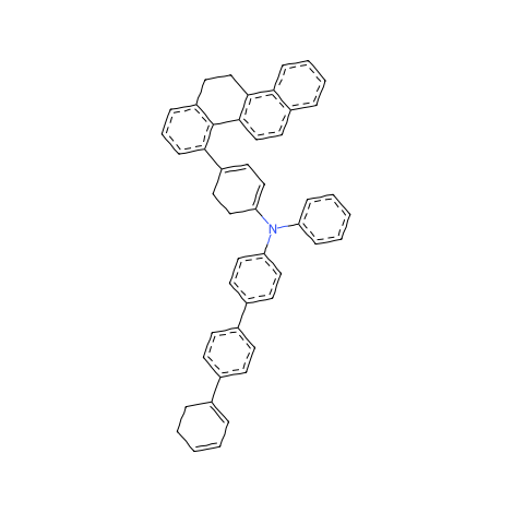 C1=CCCC(c2ccc(-c3ccc(N(C4=CC=C(c5cccc6c5-c5ccc7ccccc7c5CC6)CC4)c4ccccc4)cc3)cc2)=C1